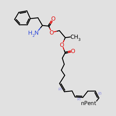 CCCCC/C=C\C/C=C\C/C=C\CCCCC(=O)OC(C)COC(=O)C(N)Cc1ccccc1